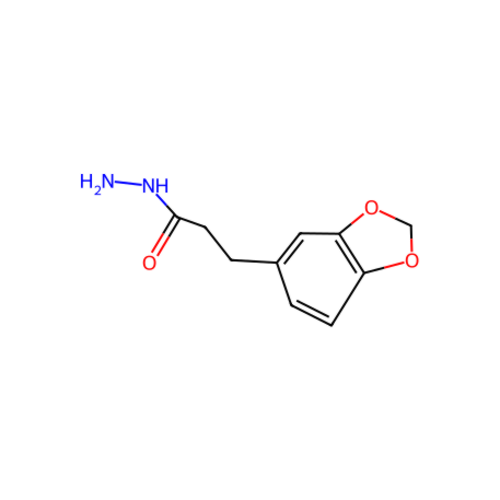 NNC(=O)CCc1ccc2c(c1)OCO2